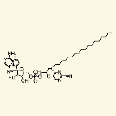 CCCCCCCCCCCCCCCCCCOC[C@H](COP(=O)(O)OC[C@H]1O[C@@](C#N)(c2ccc3c(N)ncnn23)[C@H](O)[C@@H]1O)Oc1cnc(C#N)nc1